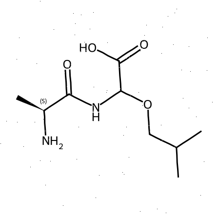 CC(C)COC(NC(=O)[C@H](C)N)C(=O)O